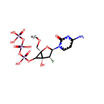 COC[C@]12O[C@@H](n3ccc(N)nc3=O)[C@H](F)[C@@]1(O)C2OP(=O)(O)OP(=O)(O)OP(=O)(O)O